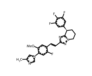 COc1cc(/C=C/c2nc3n(n2)CCC[C@@H]3c2cc(F)c(F)c(F)c2)c(F)cc1-n1cnc(C)c1